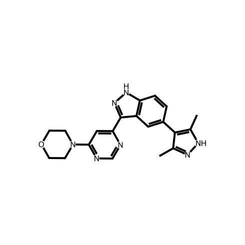 Cc1n[nH]c(C)c1-c1ccc2[nH]nc(-c3cc(N4CCOCC4)ncn3)c2c1